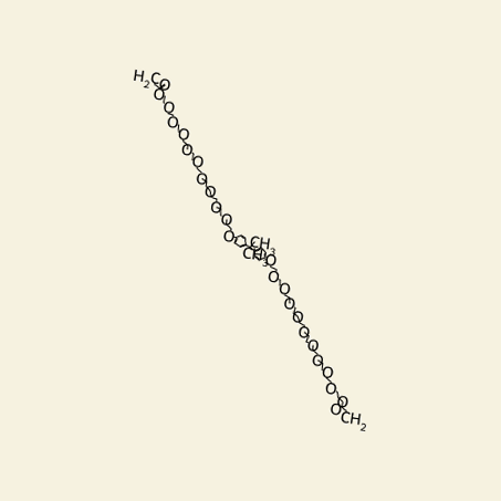 C=CC(=O)OCCOCCOCCOCCOCCOCCOCCOCCOCCOCCOc1ccc(C(C)(C)c2ccc(OCCOCCOCCOCCOCCOCCOCCOCCOCCOCCOC(=O)C=C)cc2)cc1